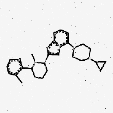 Cc1cccnc1[C@@H]1CCC[C@H](c2cn3c(N4CCN(C5CC5)CC4)cccc3n2)N1C